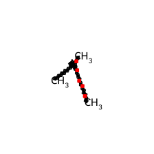 CCCCCCCCCCCCCCCCCCCC1N(CCCC)C=CN1CCCCCCCCCCC